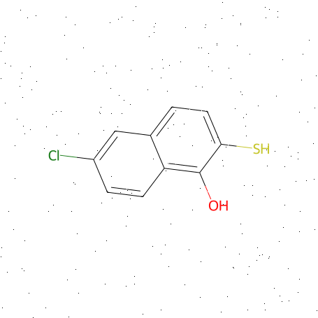 Oc1c(S)ccc2cc(Cl)ccc12